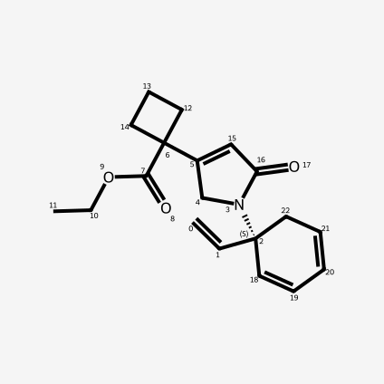 C=C[C@]1(N2CC(C3(C(=O)OCC)CCC3)=CC2=O)C=CC=CC1